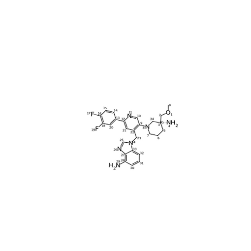 COC[C@@]1(N)CCCN(c2cnc(-c3ccc(F)c(F)c3)cc2Cn2cnc3c(N)cccc32)C1